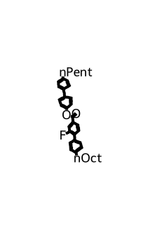 CCCCCCCCc1ccc(-c2ccc(C(=O)Oc3ccc(-c4ccc(CCCCC)cc4)cc3)cc2F)cc1